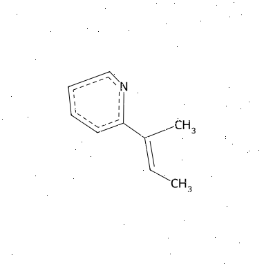 C/C=C(\C)c1ccccn1